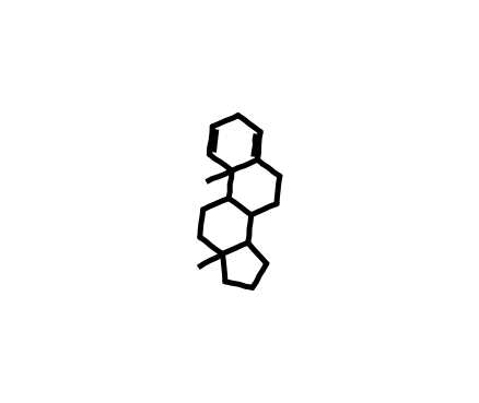 CC12CCCC1C1CCC3=CCC=CC3(C)C1CC2